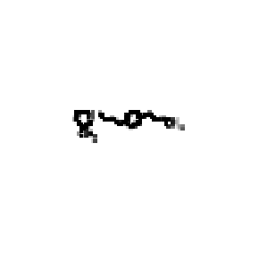 CCCCc1ccc(CCCC[n+]2cccc(C)c2)cc1